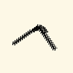 [Al+3].[Al+3].[Al+3].[Al+3].[Al+3].[Al+3].[H-].[H-].[H-].[H-].[H-].[H-].[H-].[H-].[H-].[H-].[H-].[H-].[H-].[H-].[H-].[H-].[H-].[H-].[H-].[Li+]